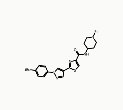 CCN1CCC(NC(=O)c2csc(-c3cnn(-c4ccc(C(C)(C)C)cc4)c3)n2)CC1